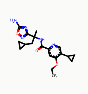 CC(CC1CC1)(NC(=O)c1cc(OCC(F)(F)F)c(C2CC2)cn1)c1noc(N)n1